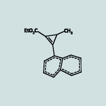 CCOC(=O)C1=C(c2cccc3ccccc23)C1C